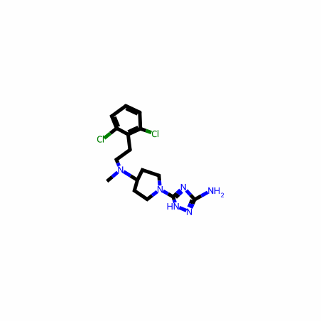 CN(CCc1c(Cl)cccc1Cl)C1CCN(c2nc(N)n[nH]2)CC1